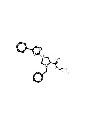 COC(=O)C1C[C@@H](c2nc(-c3ccccc3)co2)CN1Cc1ccccc1